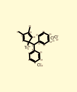 CC1=C[C]([Ti+3])(C(c2ccccc2)c2ccccc2)C=C1C.[Cl-].[Cl-].[Cl-]